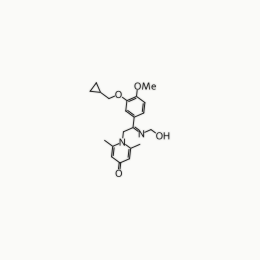 COc1ccc(C(Cn2c(C)cc(=O)cc2C)=NCO)cc1OCC1CC1